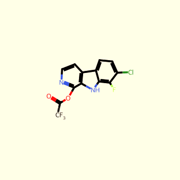 O=C(Oc1nccc2c1[nH]c1c(F)c(Cl)ccc12)C(F)(F)F